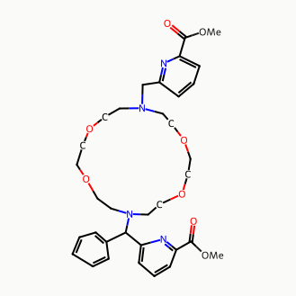 COC(=O)c1cccc(CN2CCOCCOCCN(C(c3ccccc3)c3cccc(C(=O)OC)n3)CCOCCOCC2)n1